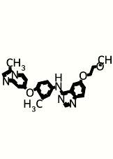 COCCOc1ccc2ncnc(Nc3ccc(Oc4ccn5c(C)cnc5c4)c(C)c3)c2c1